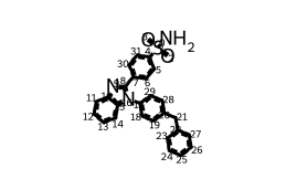 NS(=O)(=O)c1ccc(-c2nc3ccccc3n2-c2ccc(Cc3ccccc3)cc2)cc1